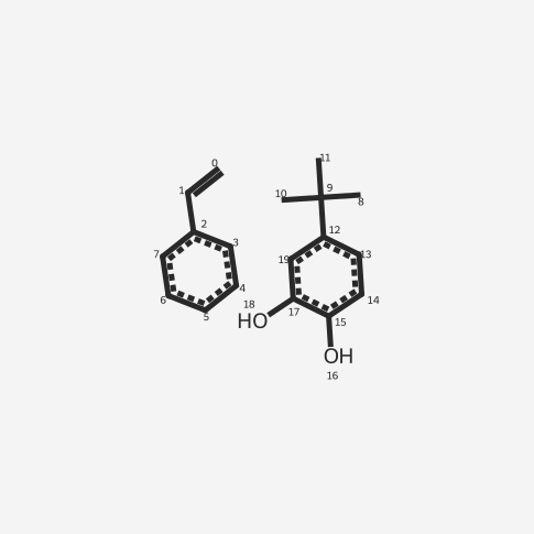 C=Cc1ccccc1.CC(C)(C)c1ccc(O)c(O)c1